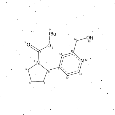 CC(C)(C)OC(=O)N1CCCC1c1ccnc(CO)c1